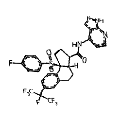 O=C(Nc1ccnc2[nH]ncc12)[C@@H]1CC[C@@]2(S(=O)(=O)c3ccc(F)cc3)c3ccc(C(F)(C(F)(F)F)C(F)(F)F)cc3CC[C@@H]12